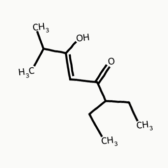 CCC(CC)C(=O)/C=C(\O)C(C)C